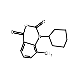 Cc1cccc2c(=O)oc(=O)n(C3CCCCC3)c12